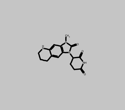 Cn1c(=O)n(C2CCC(=O)NC2=O)c2cc3c(cc21)NCCC3